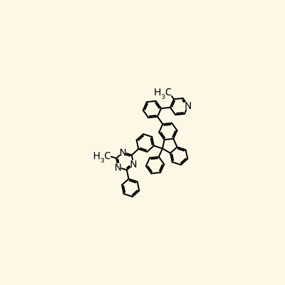 Cc1nc(-c2ccccc2)nc(-c2cccc(C3(c4ccccc4)c4ccccc4-c4ccc(-c5ccccc5-c5ccncc5C)cc43)c2)n1